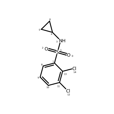 O=S(=O)(NC1CC1)c1cccc(Cl)c1Cl